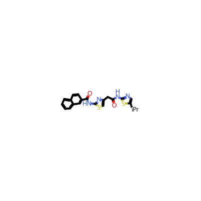 CC(C)c1cnc(NC(=O)Cc2csc(NC(=O)c3ccc4ccccc4c3)n2)s1